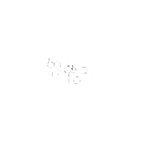 Cc1[nH]c2c(-c3ccccc3)c(-c3ccc(Cl)cc3)nn2c(=O)c1-c1ccc2ncccc2c1